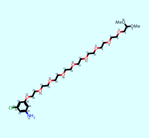 COC(COCCOCCOCCOCCOCCOCCOCCOCCOc1cc(N)cc(Cl)c1)OC